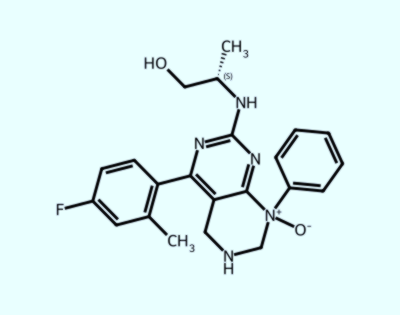 Cc1cc(F)ccc1-c1nc(N[C@@H](C)CO)nc2c1CNC[N+]2([O-])c1ccccc1